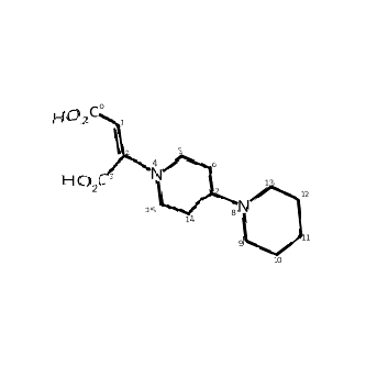 O=C(O)/C=C(\C(=O)O)N1CCC(N2CCCCC2)CC1